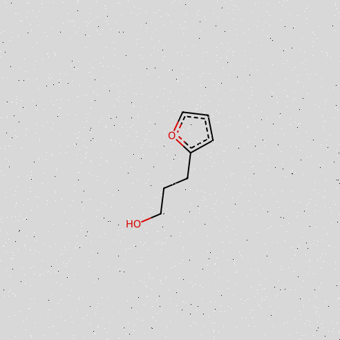 O[CH]CCc1ccco1